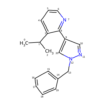 CC(C)c1cccnc1-c1cnn(Cc2ccccc2)c1